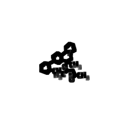 Cc1ccccc1-c1ccc2c(c1)C(C)(OC(C)CC(C)O)CN1C=CC=CC21